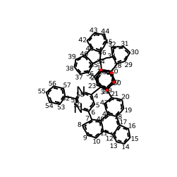 c1ccc(-c2cc(-c3cccc4c5ccccc5c5ccc(-c6ccc7c(c6)-c6ccccc6C76c7ccccc7-c7ccccc76)cc5c34)nc(-c3ccccc3)n2)cc1